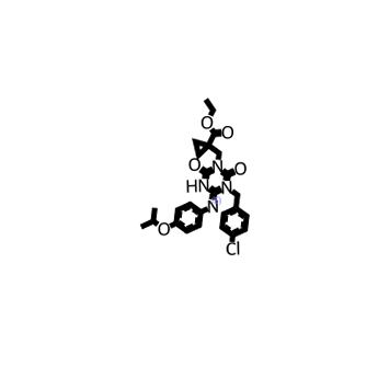 CCOC(=O)C1(Cn2c(=O)[nH]/c(=N\c3ccc(OC(C)C)cc3)n(Cc3ccc(Cl)cc3)c2=O)CC1